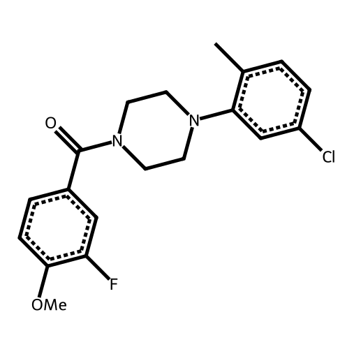 COc1ccc(C(=O)N2CCN(c3cc(Cl)ccc3C)CC2)cc1F